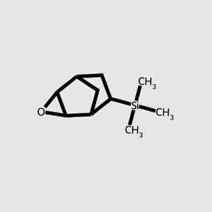 C[Si](C)(C)C1CC2CC1C1OC21